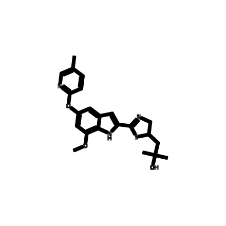 COc1cc(Oc2ccc(C)cn2)cc2cc(C3=NCC(CC(C)(C)O)S3)[nH]c12